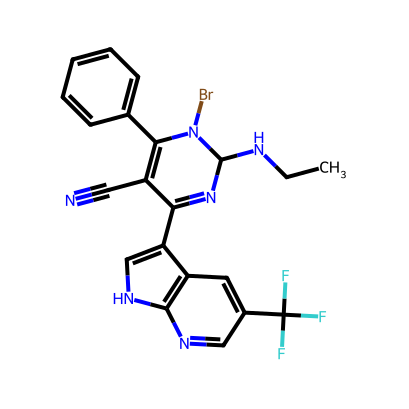 CCNC1N=C(c2c[nH]c3ncc(C(F)(F)F)cc23)C(C#N)=C(c2ccccc2)N1Br